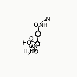 N#CCNC(=O)c1ccc(-c2ccn(S(N)(=O)=O)c2C(=O)O)cc1